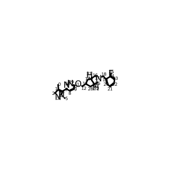 Cc1cnn(C)c1-c1ccc(OCC2C[C@@H]3CN(Cc4ccccc4F)C[C@@H]3C2)nn1